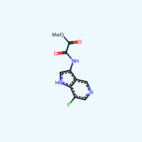 COC(=O)C(=O)Nc1c[nH]c2c(F)cncc12